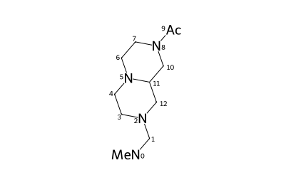 CNCN1CCN2CCN(C(C)=O)CC2C1